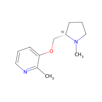 Cc1ncccc1OC[C@@H]1CCCN1C